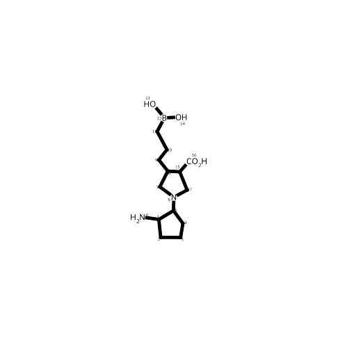 NC1CCCC1N1CC(CCCB(O)O)C(C(=O)O)C1